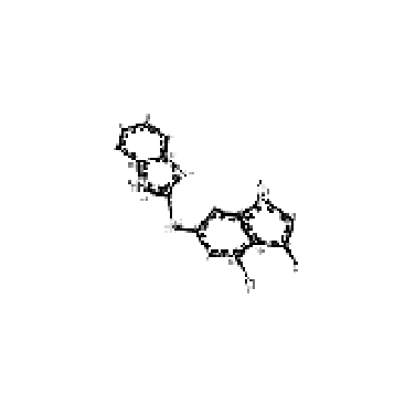 Fc1c[nH]c2cc(Nc3nc4ccccc4[nH]3)cc(Cl)c12